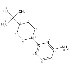 CC(C)(O)C1CCN(c2nccc(N)n2)CC1